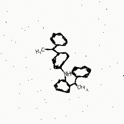 CC(c1ccccc1)c1ccc(Nc2ccccc2C(C)c2ccccc2)cc1